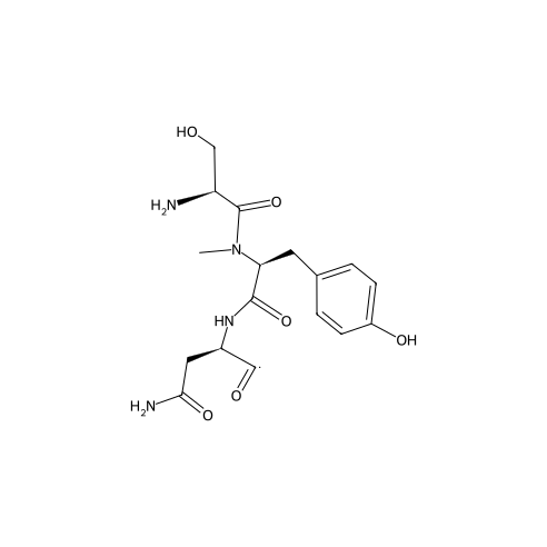 CN(C(=O)[C@@H](N)CO)[C@@H](Cc1ccc(O)cc1)C(=O)N[C@@H]([C]=O)CC(N)=O